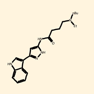 CCCCN(CC)CCCC(=O)Nc1cc(-c2c[nH]c3ccccc23)n[nH]1